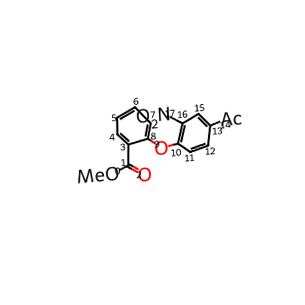 COC(=O)c1ccccc1Oc1ccc(C(C)=O)cc1[N+](=O)[O-]